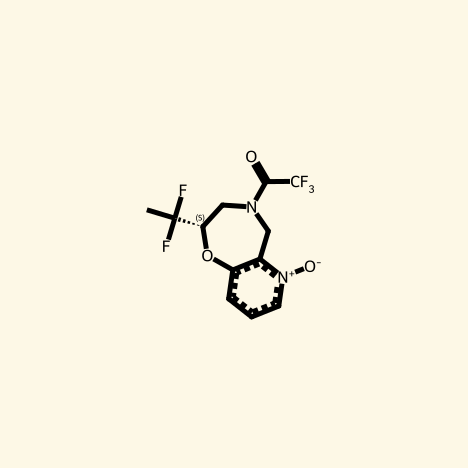 CC(F)(F)[C@@H]1CN(C(=O)C(F)(F)F)Cc2c(ccc[n+]2[O-])O1